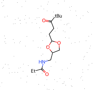 CCC(=O)NCC1COC(CCC(=O)C(C)(C)C)O1